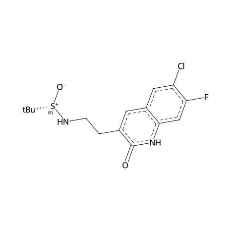 CC(C)(C)[S@+]([O-])NCCc1cc2cc(Cl)c(F)cc2[nH]c1=O